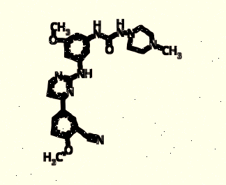 COc1cc(NC(=O)NN2CCN(C)CC2)cc(Nc2nccc(-c3ccc(OC)c(C#N)c3)n2)c1